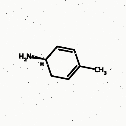 CC1=CC[C@@H](N)C=C1